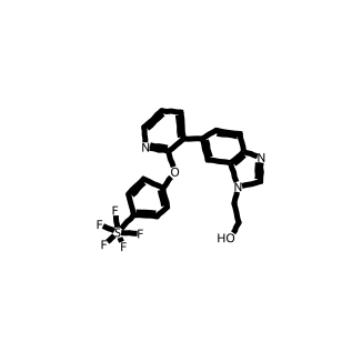 OCCn1cnc2ccc(-c3cccnc3Oc3ccc(S(F)(F)(F)(F)F)cc3)cc21